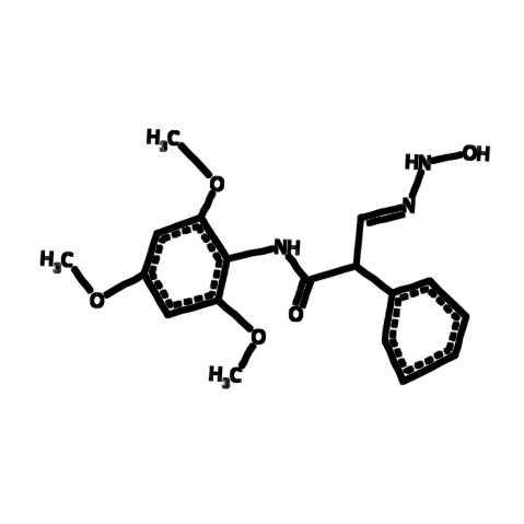 COc1cc(OC)c(NC(=O)C(C=NNO)c2ccccc2)c(OC)c1